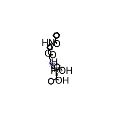 O=C(CC/C=C1/C[C@@H]2[C@@H](C#CC(O)C3CCCCC3)[C@H](O)CC[C@H]12)Oc1ccc(NC(=O)c2ccccc2)cc1